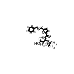 C[N+](C)(C)C[C@@H](CC(=O)O)NC(=O)c1ccc(CSCc2ccccc2)o1